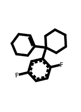 Fc1ccc(F)c(C2(C3=CCCCC3)CCCCC2)c1